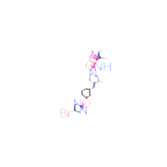 Cc1noc(NC(=O)N2CC/C(=C\c3cccc(Oc4ncc(Br)cn4)c3)C(C)C2)c1C